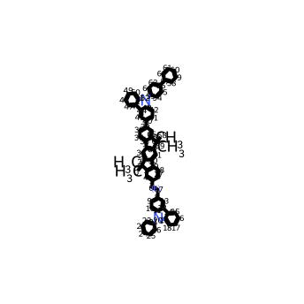 CC1(C)c2cc(/C=C/c3ccc4c(c3)c3ccccc3n4-c3ccccc3)ccc2-c2cc3c(cc21)-c1ccc(-c2ccc4c(c2)c2ccccc2n4-c2ccc(-c4ccccc4)cc2)cc1C3(C)C